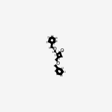 O=C1CC(COCc2ccccc2)[C@H]1COCc1ccccc1